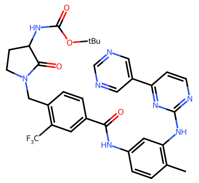 Cc1ccc(NC(=O)c2ccc(CN3CCC(NC(=O)OC(C)(C)C)C3=O)c(C(F)(F)F)c2)cc1Nc1nccc(-c2cncnc2)n1